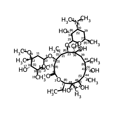 CC[C@H]1OC(=O)[C@H](C)[C@@H](OC2C[C@@](C)(OC)[C@@H](O)[C@H](C)O2)[C@H](C)[C@@H](OC2O[C@H](C)C[C@H](N(C)C)[C@H]2O)[C@@](C)(O)C[C@@H](C)[C@H](O)[C@H](C)[C@@H](O)[C@]1(C)O